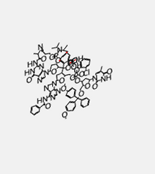 COc1ccc(C(OCC2OC(n3cc(C)c(=O)[nH]c3=O)CC2OP(=O)(OCC2OC(n3cnc4c(NC(=O)c5ccccc5)ncnc43)CC2C(OP(=O)(O)O)(c2ccccc2Cl)C2OC(n3cnc4c(=O)[nH]c(NC(=O)C(C)C)nc43)CC2OP(OCCC#N)N(C(C)C)C(C)C)Oc2ccccc2Cl)(c2ccccc2)c2ccc(OC)cc2)cc1